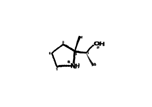 C[C@@H](O)[C@@]1(C)CCCN1